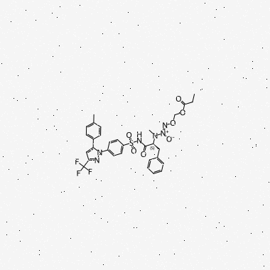 CCC(=O)OCON=[N+]([O-])N(C)[C@@H](Cc1ccccc1)C(=O)NS(=O)(=O)c1ccc(-n2nc(C(F)(F)F)cc2-c2ccc(C)cc2)cc1